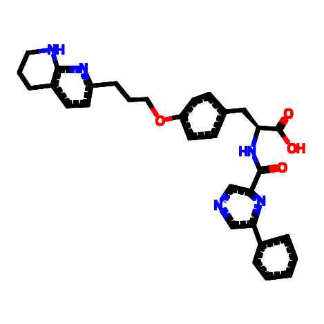 O=C(N[C@@H](Cc1ccc(OCCCc2ccc3c(n2)NCCC3)cc1)C(=O)O)c1cncc(-c2ccccc2)n1